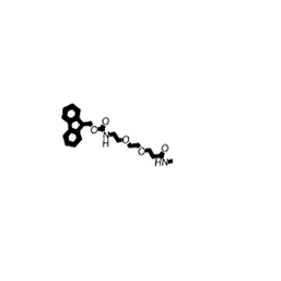 CNC(=O)CCOCCOCCNC(=O)OCC1c2ccccc2-c2ccccc21